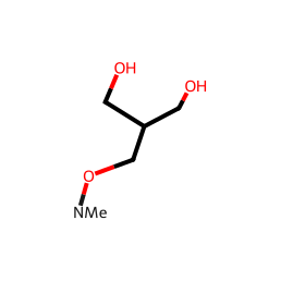 CNOCC(CO)CO